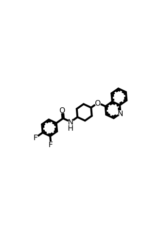 O=C(NC1CCC(Oc2ccnc3ccccc23)CC1)c1ccc(F)c(F)c1